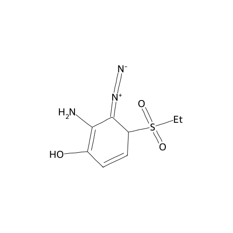 CCS(=O)(=O)C1C=CC(O)=C(N)C1=[N+]=[N-]